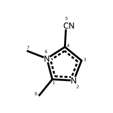 Cc1ncc(C#N)n1C